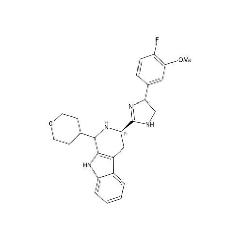 COc1cc(C2CNC([C@H]3Cc4c([nH]c5ccccc45)C(C4CCOCC4)N3)=N2)ccc1F